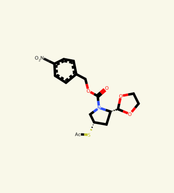 CC(=O)S[C@H]1C[C@@H](C2OCCO2)N(C(=O)OCc2ccc([N+](=O)[O-])cc2)C1